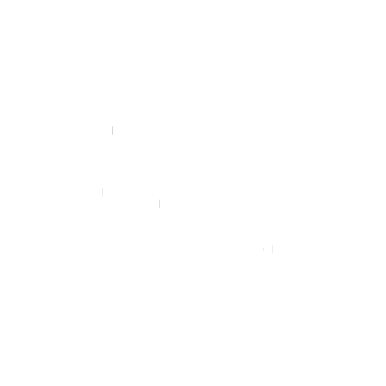 CCC(CC)O[SiH2]CCC(F)(F)F